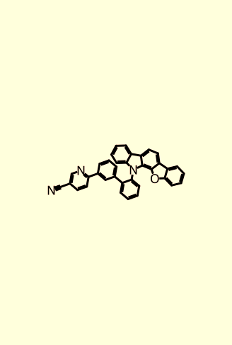 N#Cc1ccc(-c2cccc(-c3ccccc3-n3c4ccccc4c4ccc5c6ccccc6oc5c43)c2)nc1